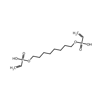 C=CP(=O)(O)OCCCCCCCCOP(=O)(O)C=C